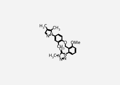 COc1cccc(-n2nnn(C)c2=O)c1COc1ccc(-n2ncc(C)c2C)cc1C